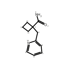 NC(=O)C1([CH]c2ccccn2)CCC1